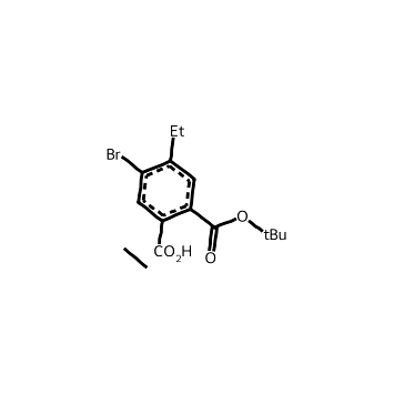 CC.CCc1cc(C(=O)OC(C)(C)C)c(C(=O)O)cc1Br